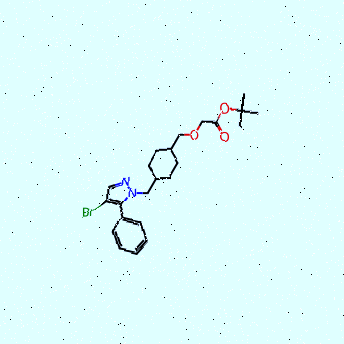 CC(C)(C)OC(=O)COCC1CCC(Cn2ncc(Br)c2-c2ccccc2)CC1